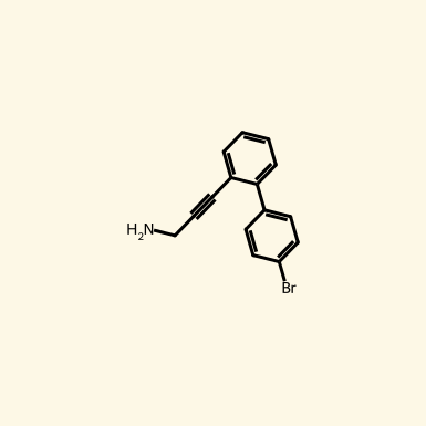 NCC#Cc1ccccc1-c1ccc(Br)cc1